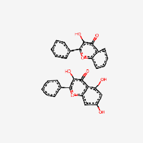 O=c1c(O)c(-c2ccccc2)oc2cc(O)cc(O)c12.O=c1c(O)c(-c2ccccc2)oc2ccccc12